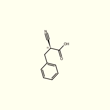 N#C[C@H](Cc1ccccc1)C(=O)O